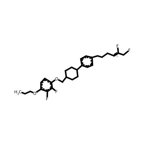 CCCOc1ccc(OCC2CCC(c3ccc(CCC/C=C(\F)CF)cc3)CC2)c(F)c1F